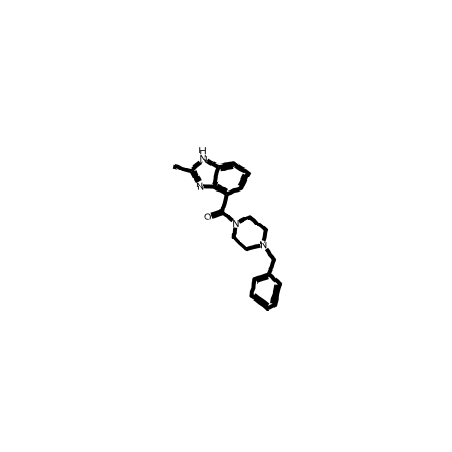 Cc1nc2c(C(=O)N3CCN(Cc4ccccc4)CC3)cccc2[nH]1